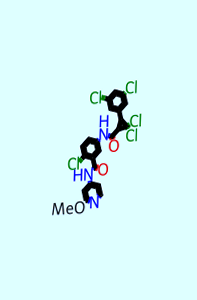 COc1cc(NC(=O)c2cc(NC(=O)C3C(c4cc(Cl)cc(Cl)c4)C3(Cl)Cl)ccc2Cl)ccn1